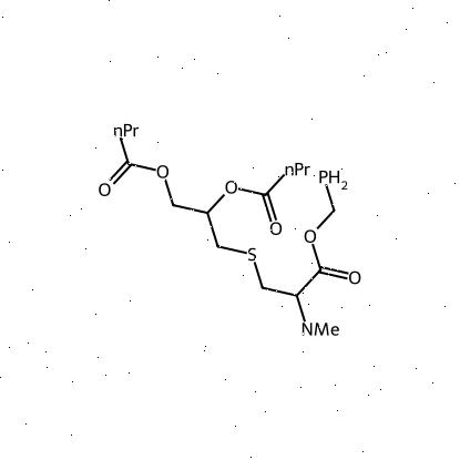 CCCC(=O)OCC(CSCC(NC)C(=O)OCP)OC(=O)CCC